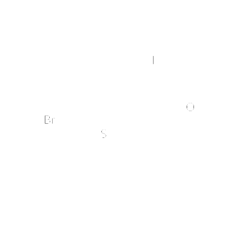 O=c1c(I)c(-c2ccccc2Br)sc2ccccc12